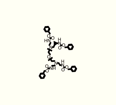 CC(C)(CCN(CCNC(=O)OCc1ccccc1)CCNC(=O)OCc1ccccc1)OCCC(C)(C)N(CCNC(=O)OCc1ccccc1)CC1CC1NC(=O)OCc1ccccc1